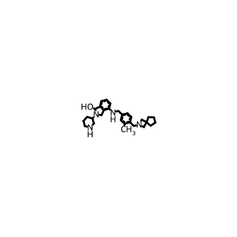 Cc1cc(CNc2cccc3c2CN(C2CCCNC2)C3O)ccc1CN1CC2(CCCC2)C1